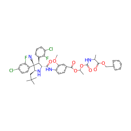 COc1cc(C(=O)OC(C)OC(=O)NC(C)C(=O)OCc2ccccc2)ccc1NC(=O)[C@@H]1N[C@@H](CC(C)(C)C)[C@](C#N)(c2ccc(Cl)cc2F)[C@H]1c1cccc(Cl)c1F